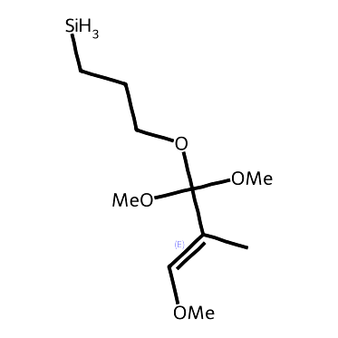 CO/C=C(\C)C(OC)(OC)OCCC[SiH3]